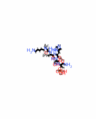 CC(=O)N(CCCCCN)CC(=O)N[C@@H](CC(C)C)C(=O)N[C@@H](Cc1cnc[nH]1)C(=O)N[C@@H](CO)C(=O)N[C@H](C(N)=O)[C@@H](C)OP(=O)(O)O